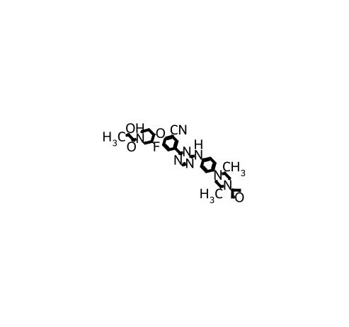 CC(O)C(=O)N1CC[C@H](Oc2ccc(-c3ncnc(Nc4ccc(N5C[C@@H](C)N(C6COC6)C[C@@H]5C)cc4)n3)cc2C#N)[C@H](F)C1